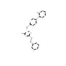 CCCCCc1nc(CCc2ccccc2)nn1Cc1ccc(-c2ccccc2C(=O)O)cn1